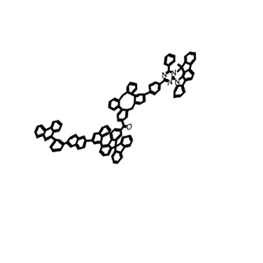 CC1(C)c2ccccc2-c2ccc3c4ccccc4n(-c4nc(-c5ccccc5)nc(-c5ccc(-c6ccc7c(c6)-c6ccccc6Cc6ccccc6-c6ccc(C(=O)c8ccc9c(c8)C8(c%10ccccc%10-c%10ccccc%108)c8cccc(-c%10cc(-c%11ccc%12cc(-c%13cccc(-c%14cc%15ccccc%15c%15ccccc%14%15)c%13)ccc%12c%11)cc%11ccccc%10%11)c8-9)cc6C7)cc5)n4)c3c21